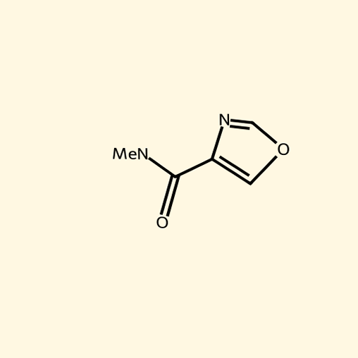 CNC(=O)c1cocn1